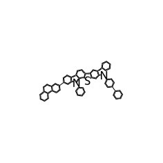 c1ccc(-c2ccc(-n3c4ccccc4c4cc5c(cc43)sc3c5ccc4c5ccc(-c6ccc7c(ccc8ccccc87)c6)cc5n(-c5ccccc5)c43)cc2)cc1